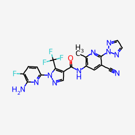 Cc1nc(-n2nccn2)c(C#N)cc1NC(=O)c1cnn(-c2ccc(F)c(N)n2)c1C(F)(F)F